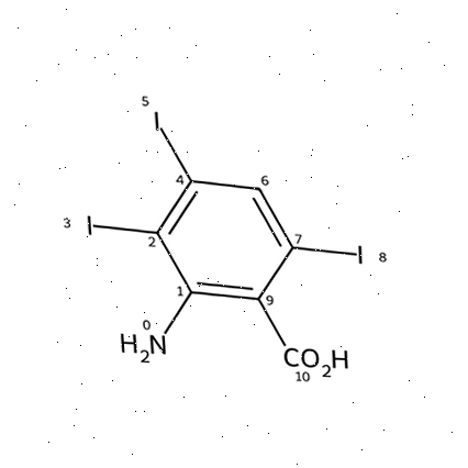 Nc1c(I)c(I)cc(I)c1C(=O)O